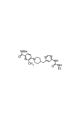 CCNC(=O)Nc1cc(CC2CCN(c3ccc(C(=O)NC)nc3C)CC2)ncn1